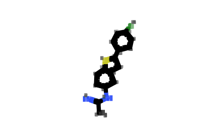 CC(=N)Nc1ccc2sc(-c3ccc(Cl)cc3)cc2c1